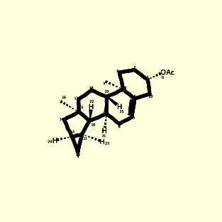 CC(=O)O[C@H]1CC[C@@]2(C)C(=CC[C@H]3[C@@H]4[C@H]5C[C@H]5C[C@@]4(C)CC[C@@H]32)C1